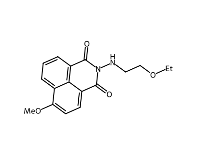 CCOCCNN1C(=O)c2cccc3c(OC)ccc(c23)C1=O